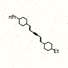 CCCC1CCC(C=CC#CC=CC2CCC(CC)CC2)CC1